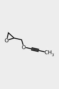 CC#COCC1CO1